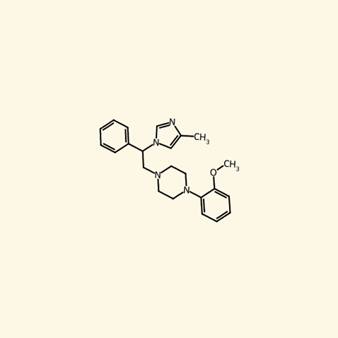 COc1ccccc1N1CCN(CC(c2ccccc2)n2cnc(C)c2)CC1